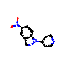 O=[N+]([O-])c1ccc2c(cnn2-c2ccncc2)c1